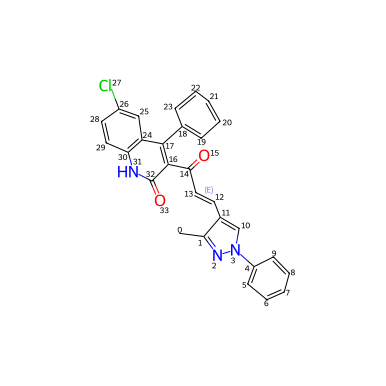 Cc1nn(-c2ccccc2)cc1/C=C/C(=O)c1c(-c2ccccc2)c2cc(Cl)ccc2[nH]c1=O